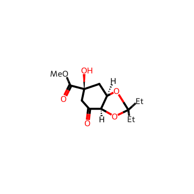 CCC1(CC)O[C@@H]2C[C@@](O)(C(=O)OC)CC(=O)[C@@H]2O1